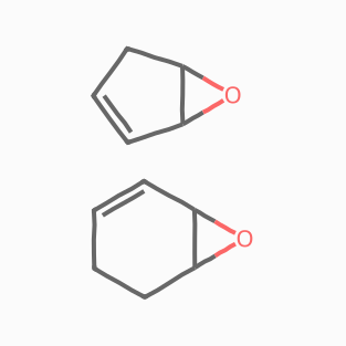 C1=CC2OC2C1.C1=CC2OC2CC1